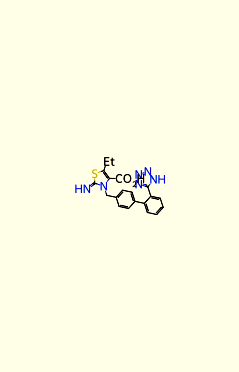 CCc1sc(=N)n(Cc2ccc(-c3ccccc3-c3nnn[nH]3)cc2)c1C(=O)O